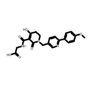 COc1ccc(-c2ccc(CN3CCC(O)=C(C(=O)NCC(=O)O)C3=O)cn2)cc1